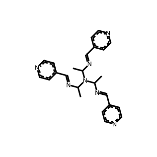 CC(/N=C/c1ccncc1)N(C(C)/N=C/c1ccncc1)C(C)/N=C/c1ccncc1